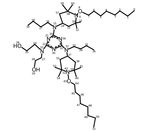 CCCCCCCCON1C(C)(C)CC(N(CCCC)c2nc(N(CCO)CCO)nc(N(CCCC)C3CC(C)(C)N(OCCCCCCCC)C(C)(C)C3)n2)CC1(C)C